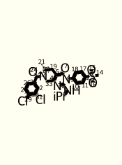 CC(C)Nc1nc2c(c(=O)n1-c1ccc(S(C)(=O)=O)cc1)C[C@@H](C)N(C(=O)c1ccc(Cl)c(Cl)c1)C2